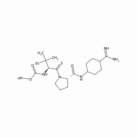 CCCOC(=O)N[C@H](C(=S)N1CCC[C@H]1C(=O)NC1CCC(C(=N)N)CC1)C(C)(C)CC